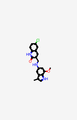 COc1cc(NCc2cc3cc(Cl)ccc3[nH]c2=O)cc2c(C)c[nH]c12